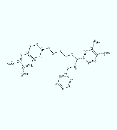 COc1ccc(C(CCCCCN2CCc3cc(OC)c(OC)cc3C2)SCc2ccccc2)cc1OC